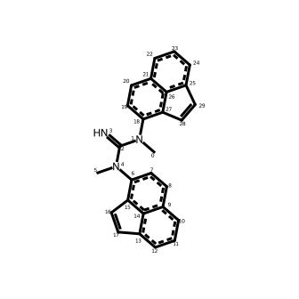 CN(C(=N)N(C)c1ccc2cccc3c2c1C=C3)c1ccc2cccc3c2c1C=C3